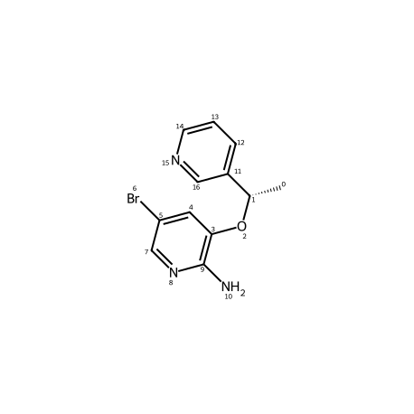 C[C@H](Oc1cc(Br)cnc1N)c1cccnc1